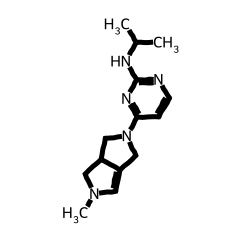 CC(C)Nc1nccc(N2CC3=CN(C)CC3C2)n1